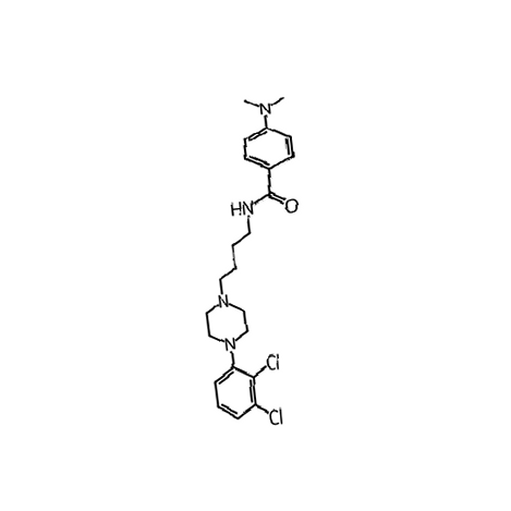 CN(C)c1ccc(C(=O)NCCCCN2CCN(c3cccc(Cl)c3Cl)CC2)cc1